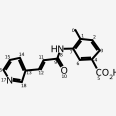 Cc1ccc(C(=O)O)cc1NC(=O)/C=C/c1cccnc1